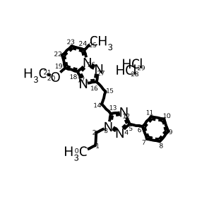 CCCn1nc(-c2ccccc2)nc1CCc1nc2c(OC)ccc(C)n2n1.Cl.Cl